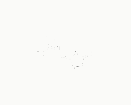 C/C(=N/N=C1/NCC(=O)N1)C(F)(F)F